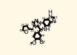 COc1ccc(C(Nc2ccc3[nH]cnc3c2)c2nnnn2CC2CCCO2)cc1Br